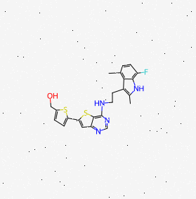 Cc1[nH]c2c(F)ccc(C)c2c1CCNc1ncnc2cc(-c3ccc(CO)s3)sc12